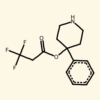 O=C(CC(F)(F)F)OC1(c2ccccc2)CCNCC1